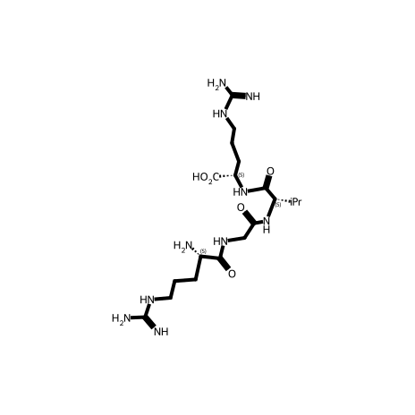 CC(C)[C@H](NC(=O)CNC(=O)[C@@H](N)CCCNC(=N)N)C(=O)N[C@@H](CCCNC(=N)N)C(=O)O